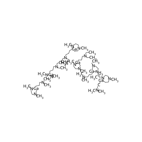 CCN(CC)CC[CH2][Ga]1[CH2]CN(C)CC[N]1C.CCN(CC)CC[CH2][Ga]1[CH2]N(C)CC[N]1C.CCN(CC)CC[CH2][Ga]1[N](C)CC[N]1C.CCN1CC[N](CC)[Ga]([CH2]CCN(C)C)[CH2]1.CN(C)CC[CH2][Ga]1[CH2]CN(C)CC[N]1C.CN(C)CC[CH2][Ga]1[CH2]N(C)CC[N]1C